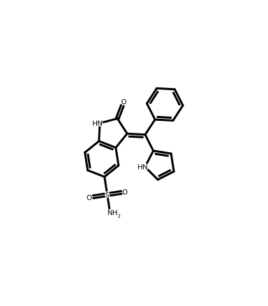 NS(=O)(=O)c1ccc2c(c1)C(=C(c1ccccc1)c1ccc[nH]1)C(=O)N2